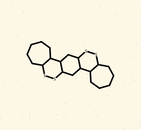 C1CCC2SSC3CC4C(CC3C2CC1)SSC1CCCCCC14